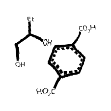 CCC(O)CO.O=C(O)c1ccc(C(=O)O)cc1